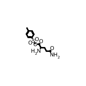 Cc1ccc(S(=O)(=O)OC(=O)C(N)CCC(N)=O)cc1